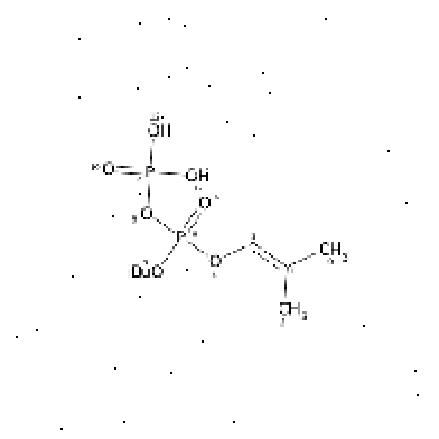 CC(C)=COP(=O)(OCC(C)C)OP(=O)(O)O